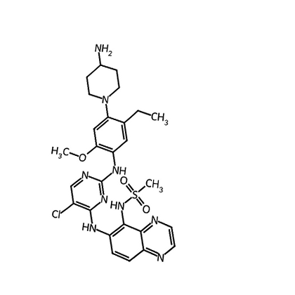 CCc1cc(Nc2ncc(Cl)c(Nc3ccc4nccnc4c3NS(C)(=O)=O)n2)c(OC)cc1N1CCC(N)CC1